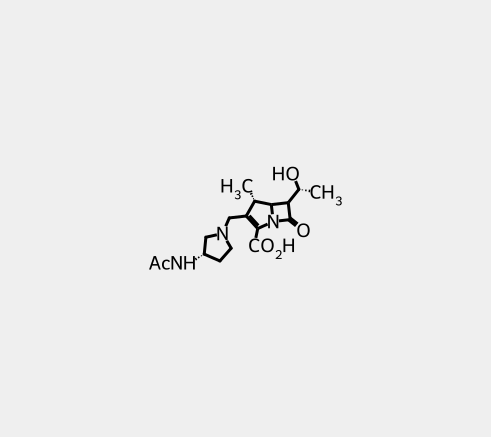 CC(=O)N[C@H]1CCN(CC2=C(C(=O)O)N3C(=O)C([C@@H](C)O)C3[C@H]2C)C1